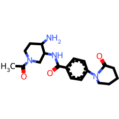 CC(=O)N1CCC(N)C(NC(=O)c2ccc(N3CCCCC3=O)cc2)C1